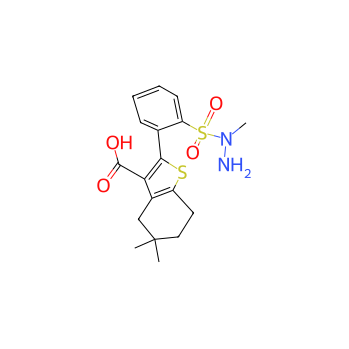 CN(N)S(=O)(=O)c1ccccc1-c1sc2c(c1C(=O)O)CC(C)(C)CC2